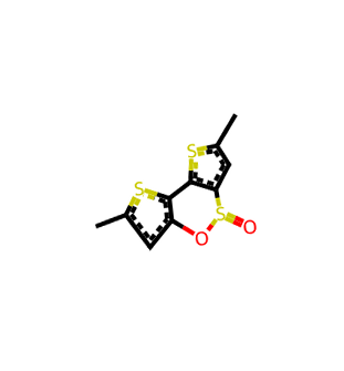 Cc1cc2c(s1)-c1sc(C)cc1S(=O)O2